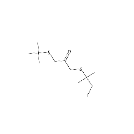 CC(C)(C)SCC(=O)CSC(C)(C)CI